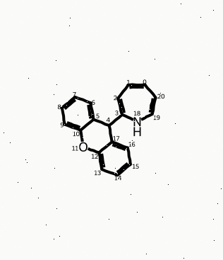 C1=CC=C(C2c3ccccc3Oc3ccccc32)NC=C1